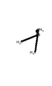 CCCCCC=CCC=CCCCCCCCCCCN(CCCCCCCCCCC=CCC=CCCCCC)C(=O)OCC1CCCN(C)C1